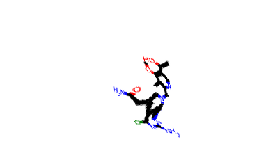 COc1c(C(C)O)cnc(CN2CC(CC(N)=O)c3c(Cl)nc(N)nc32)c1C